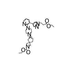 CCOC(=O)CCn1cc(-c2cccnc2N2CCN([C@@H]3CCC4(C3)CN(C(=O)OCC)C4)CC2)cn1